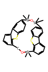 C[Si]1(C)O[Si](C)(C)c2ccc3sc4c(cccc4c3c2)[Si](C)(C)OCc2cccc3c2sc2ccc1cc23